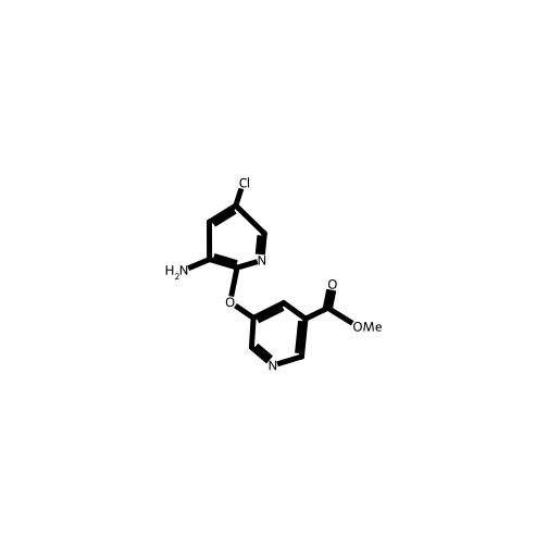 COC(=O)c1cncc(Oc2ncc(Cl)cc2N)c1